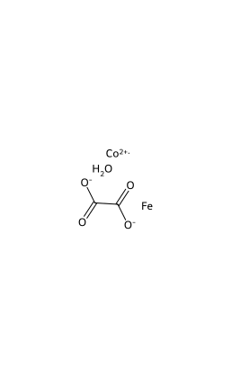 O.O=C([O-])C(=O)[O-].[Co+2].[Fe]